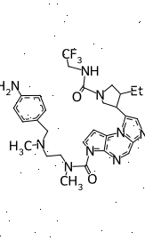 CCC1CN(C(=O)NCC(F)(F)F)CC1c1cnc2cnc3c(ccn3C(=O)N(C)CCN(C)Cc3ccc(N)cc3)n12